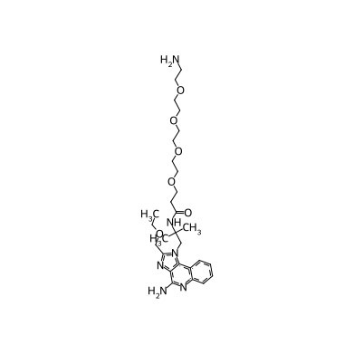 CCOCc1nc2c(N)nc3ccccc3c2n1CC(C)(C)NC(=O)CCOCCOCCOCCOCCN